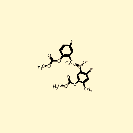 COC(=O)Oc1cc([N+](=O)[O-])c(F)cc1C.COC(=O)Oc1ccc(F)cc1C